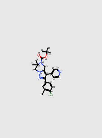 Cc1cc(-c2nn3c(c2-c2ccncc2)CN(C(=O)OC(C)(C)C)C(C)(C)C3)ccc1Cl